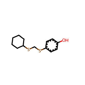 Oc1ccc(SCSC2CCCCC2)cc1